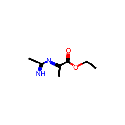 CCOC(=O)/C(C)=N/C(C)=N